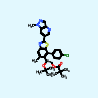 Cc1cc2nc(-c3cnc4cnn(C)c4c3)sc2c(-c2ccc(Cl)cc2)c1[C@H](COC(=O)C(C)(C)C)OC(C)(C)C